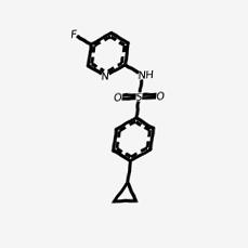 O=S(=O)(Nc1ccc(F)cn1)c1ccc(C2CC2)cc1